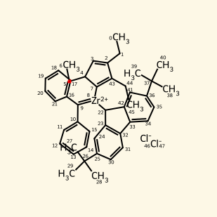 CCC1=CC(CC)[C]([Zr+2](=[C](c2ccccc2)c2ccccc2)[CH]2c3cc(C(C)(C)C)ccc3-c3ccc(C(C)(C)C)cc32)=C1CC.[Cl-].[Cl-]